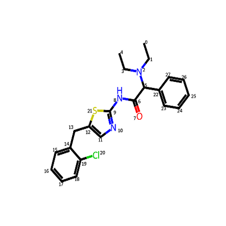 CCN(CC)C(C(=O)Nc1ncc(Cc2ccccc2Cl)s1)c1ccccc1